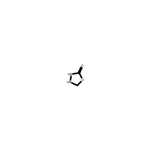 O=C1NN[CH]O1